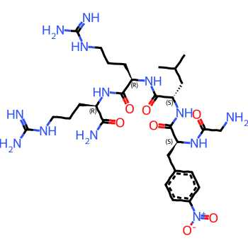 CC(C)C[C@H](NC(=O)[C@H](Cc1ccc([N+](=O)[O-])cc1)NC(=O)CN)C(=O)N[C@H](CCCNC(=N)N)C(=O)N[C@H](CCCNC(=N)N)C(N)=O